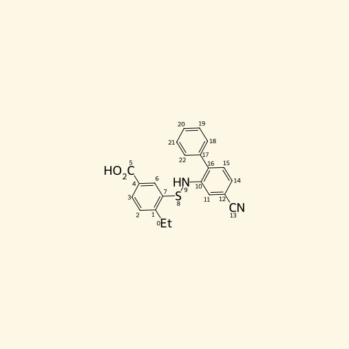 CCc1ccc(C(=O)O)cc1SNc1cc(C#N)ccc1-c1ccccc1